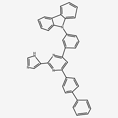 c1ccc(-c2ccc(-c3cc(-c4cccc(-n5c6ccccc6c6ccccc65)c4)nc(-c4cnc[nH]4)n3)cc2)cc1